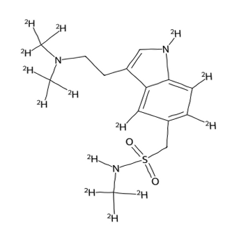 [2H]c1c(CS(=O)(=O)N([2H])C([2H])([2H])[2H])c([2H])c2c(CCN(C([2H])([2H])[2H])C([2H])([2H])[2H])cn([2H])c2c1[2H]